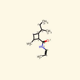 C/C=C\NC(=O)C1C(C)CC1C(C)CC